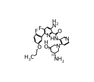 CCCOc1ccc(F)c(-c2nc(C(=O)Nc3cnccc3N3C[C@@H](N)C[C@@H](O)C3)c(N)cc2F)c1